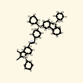 Cc1c(C)n(-c2ccccc2)c2ccc(/C=C/c3ccc(N(c4ccccc4)c4ccc5c(c4)c4ccccc4n5-c4ccccc4)cc3)cc12